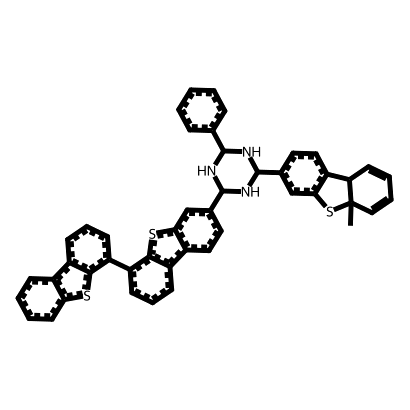 CC12C=CC=CC1c1ccc(C3NC(c4ccccc4)NC(c4ccc5c(c4)sc4c(-c6cccc7c6sc6ccccc67)cccc45)N3)cc1S2